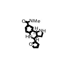 CNC(=O)c1ccc2c(c1)[C@H]1NCC[C@H]1C(c1ccco1)N2